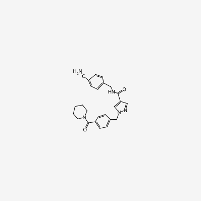 NCc1ccc(CNC(=O)c2cnn(Cc3ccc(C(=O)N4CCCCC4)cc3)c2)cc1